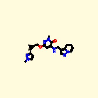 Cn1ccc([C@@H]2CC2COc2cc(NCc3cnn4ccccc34)c(=O)n(C)n2)n1